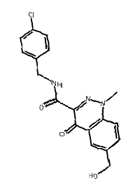 Cn1nc(C(=O)NCc2ccc(Cl)cc2)c(=O)c2cc(CO)ccc21